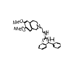 COc1cc2c(cc1OC)CN(CCNC(=S)NC(c1ccccc1)c1ccccc1)CC2